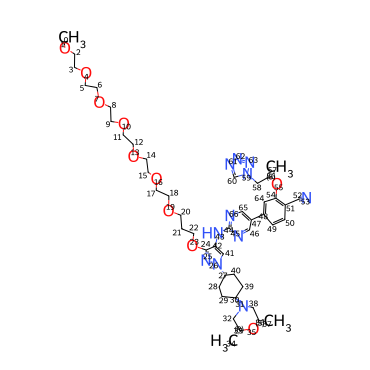 COCCOCCOCCOCCOCCOCCOCCCOc1nn([C@H]2CC[C@H](N3C[C@@H](C)O[C@@H](C)C3)CC2)cc1Nc1ncc(-c2ccc(C#N)c(O[C@@H](C)Cn3cnnn3)c2)cn1